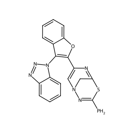 PC1=NN2C=C(c3oc4ccccc4c3-n3nnc4ccccc43)N=C(C2)S1